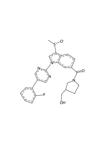 C[S+]([O-])c1cn(-c2ncc(-c3ccccc3F)cn2)c2cc(C(=O)N3CCC(CO)C3)ccc12